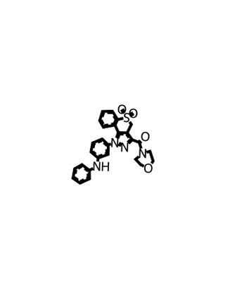 O=C(c1nn(-c2cccc(Nc3ccccc3)c2)c2c1CS(=O)(=O)c1ccccc1-2)N1CCOCC1